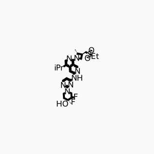 CCS(=O)(=O)C[C@H]1CN(c2ncc(C(C)C)c3cc(Nc4ccnc(N5CC[C@](C)(O)C(F)(F)C5)n4)ncc23)[C@@H]1C